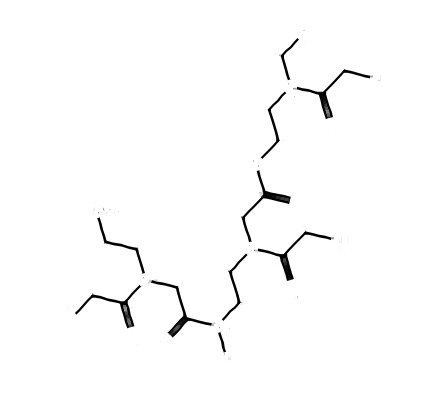 BCC(=O)N(CCNC(=O)CN(CCN(CCC)C(=O)CN(CCNC)C(=O)CB)C(=O)CB)CC(C)=O